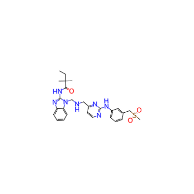 CCC(C)(C)C(=O)Nc1nc2ccccc2n1CNCc1ccnc(Nc2cccc(CS(C)(=O)=O)c2)n1